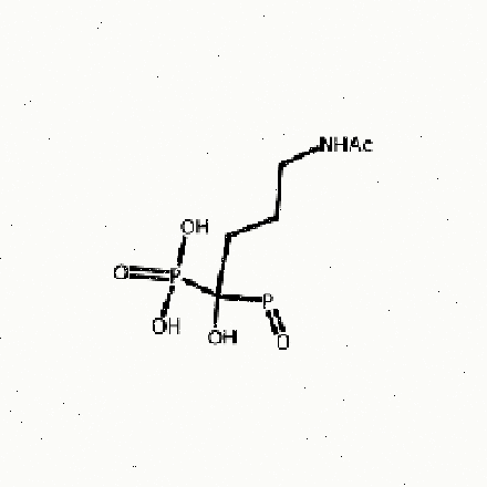 CC(=O)NCCCC(O)(P=O)P(=O)(O)O